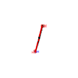 O=C(CCCCCCCCCCCCCCCCCCCCCCCCCCCCCCCCCCCOP(=O)(O)O)NO